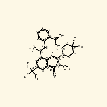 C[C@@H](Nc1ccccc1C(=O)O)c1cc(C(F)(F)F)cc2c(=O)n(C)c(N3CCC(F)(F)CC3)nc12